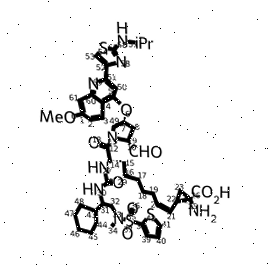 COc1ccc2c(O[C@@H]3C[C@@H](C=O)N(C(=O)[C@H](CCCCC/C=C\C4C[C@]4(N)C(=O)O)NC(=O)NC(CN(C)S(=O)(=O)c4cccs4)C4CCCCC4)C3)cc(-c3csc(NC(C)C)n3)nc2c1